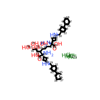 Cl.Cl.Cl.Cl.NC(CCCC(B(O)O)C(CCCB(O)O)C(N)(C(=O)O)[C@H]1C[C@@H](NCc2ccc(-c3ccccc3)cc2)C1)(C(=O)O)C1CC(NCc2ccc(-c3ccccc3)cc2)C1